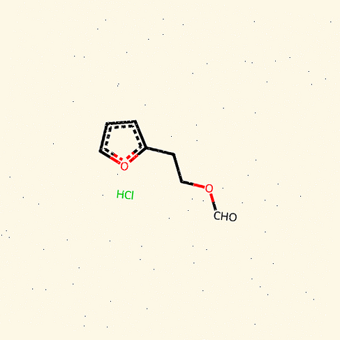 Cl.O=COCCc1ccco1